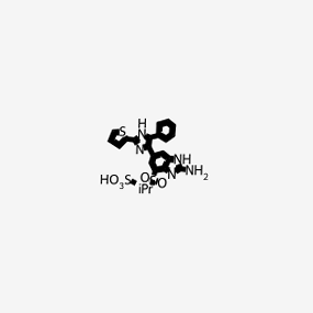 CC(C)S(=O)(=O)c1cc(-c2nc(-c3cccs3)[nH]c2-c2ccccc2)cc2[nH]c(N)nc12.CS(=O)(=O)O